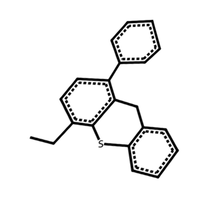 CCc1ccc(-c2ccccc2)c2c1Sc1ccccc1C2